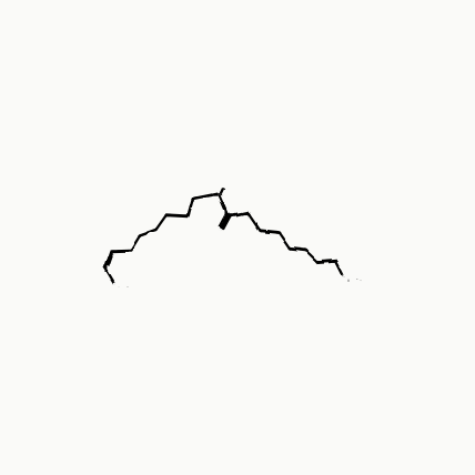 CCCCCCCC/C=C\CCCCCCC([C]=O)C(=O)CCCCCCCCCCCCCCCCC